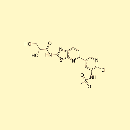 CS(=O)(=O)Nc1cc(-c2ccc3nc(NC(=O)[C@H](O)CO)sc3n2)cnc1Cl